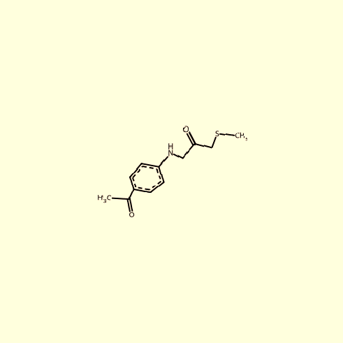 CSCC(=O)CNc1ccc(C(C)=O)cc1